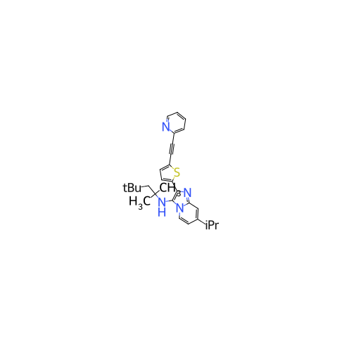 CC(C)c1ccn2c(NC(C)(C)CC(C)(C)C)c(-c3ccc(C#Cc4ccccn4)s3)nc2c1